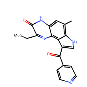 COCc1nc2c(cc(C)c3[nH]cc(C(=O)c4ccncc4)c32)[nH]c1=O